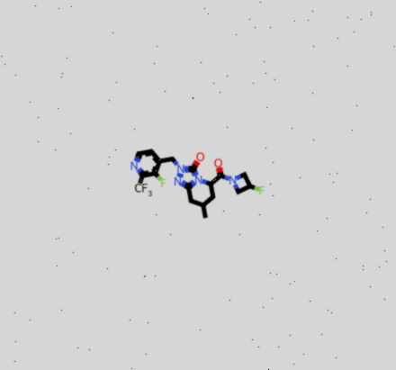 CC1Cc2nn(Cc3ccnc(C(F)(F)F)c3F)c(=O)n2C(C(=O)N2CC(F)C2)C1